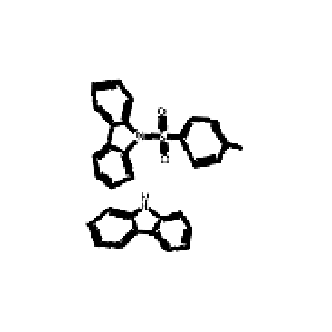 Cc1ccc(S(=O)(=O)n2c3ccccc3c3ccccc32)cc1.c1ccc2c(c1)[nH]c1ccccc12